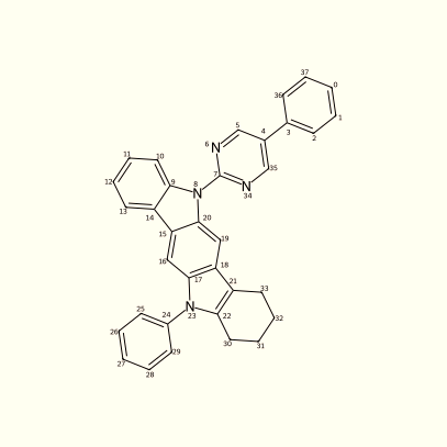 c1ccc(-c2cnc(-n3c4ccccc4c4cc5c(cc43)c3c(n5-c4ccccc4)CCCC3)nc2)cc1